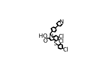 O=C(O)c1cc2c(Sc3ccc(Cl)cc3Cl)cc(Cl)cc2n1Cc1ccc(-c2ccncc2)cc1